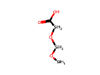 O=C(O)[SiH2]O[SiH2]O[SiH3]